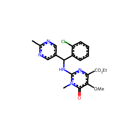 CCOC(=O)c1nc(NC(c2cnc(C)nc2)c2ccccc2Cl)n(C)c(=O)c1OC